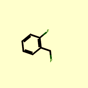 FCc1ccc[c]c1F